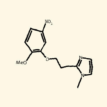 COc1ccc([N+](=O)[O-])cc1OCCc1nccn1C